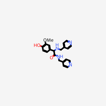 COc1cc(C(NCc2ccncc2)C(=O)NCc2ccncc2)ccc1O